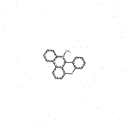 C[n+]1c2c3c(cccc3c3ccccc31)Sc1ccccc1-2